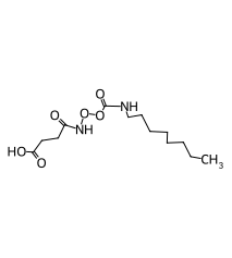 CCCCCCCCNC(=O)OONC(=O)CCC(=O)O